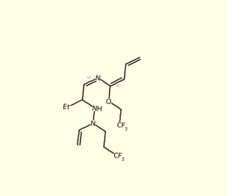 C=C/C=C(\N=C/C(CC)NN(C=C)CCC(F)(F)F)OCC(F)(F)F